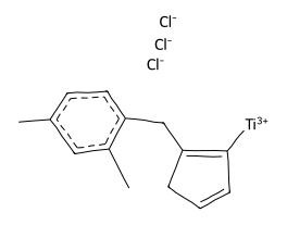 Cc1ccc(CC2=[C]([Ti+3])C=CC2)c(C)c1.[Cl-].[Cl-].[Cl-]